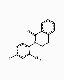 Cc1cc(F)ccc1N1CCc2ccccc2C1=O